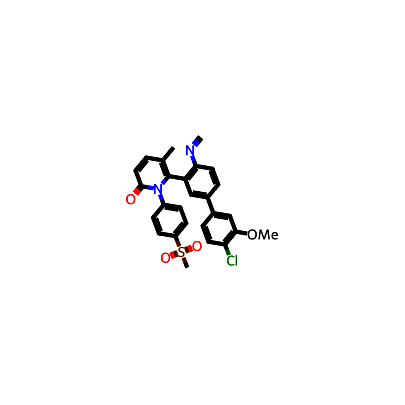 C=Nc1ccc(-c2ccc(Cl)c(OC)c2)cc1-c1c(C)ccc(=O)n1-c1ccc(S(C)(=O)=O)cc1